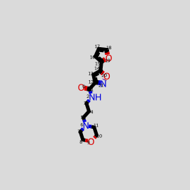 O=C(NCCCN1CCOCC1)c1cc(-c2ccco2)on1